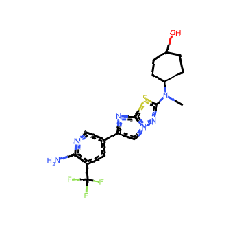 CN(c1nn2cc(-c3cnc(N)c(C(F)(F)F)c3)nc2s1)C1CCC(O)CC1